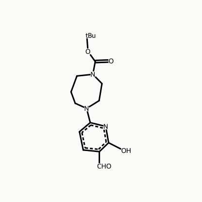 CC(C)(C)OC(=O)N1CCCN(c2ccc(C=O)c(O)n2)CC1